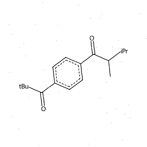 CC(C)C(C)C(=O)c1ccc(C(=O)C(C)(C)C)cc1